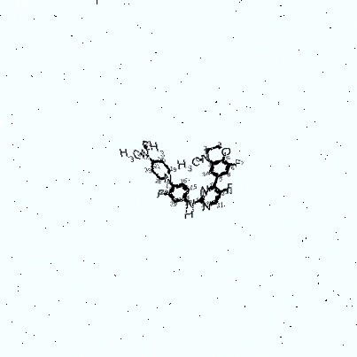 CN1CCOc2c(F)cc(-c3nc(Nc4ccc(N5CCC(N(C)C)CC5)c(F)c4)ncc3F)cc21